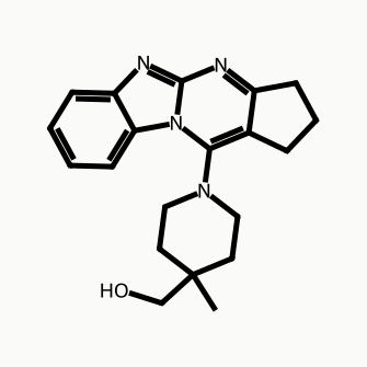 CC1(CO)CCN(c2c3c(nc4nc5ccccc5n24)CCC3)CC1